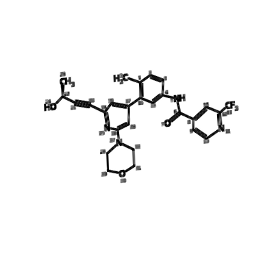 Cc1ccc(NC(=O)c2ccnc(C(F)(F)F)c2)cc1-c1cc(C#C[C@H](C)O)nc(N2CCOCC2)c1